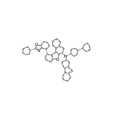 c1ccc(-c2ccc(N(c3ccc4c(c3)sc3ccccc34)c3cc4ccccc4c4c3oc3cccc(-c5cccc6oc(-c7ccccc7)nc56)c34)cc2)cc1